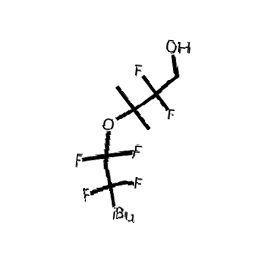 CCC(C)C(F)(F)C(F)(F)OC(C)(C)C(F)(F)CO